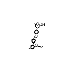 CC=C[C@@H](CC(=O)O)c1ccc(OCc2ccc(-c3cc(C)ccc3OCCCC)cc2)cc1